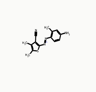 Cc1cc(N)ccc1/N=N/c1sc(C)c(C)c1C#N